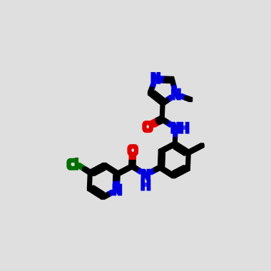 Cc1ccc(NC(=O)c2cc(Cl)ccn2)cc1NC(=O)c1cncn1C